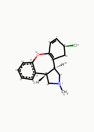 CN1C[C@@H]2C3=C(C=C[C@@H](Cl)C3)Oc3ccccc3[C@H]2C1